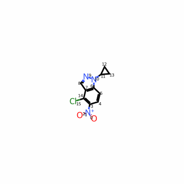 O=[N+]([O-])c1ccc2c(cnn2C2CC2)c1Cl